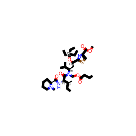 CCCC(=O)OCN(C(=O)[C@@H](NC(=O)[C@@H]1CCCCN1C)[C@@H](C)CC)[C@H](C[C@@H](O[Si](CC)(CC)CC)c1nc(C(=O)OC)cs1)C(C)C